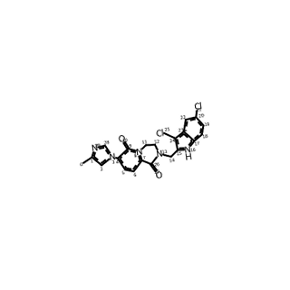 Cc1cn(-c2ccc3n(c2=O)CCN(Cc2[nH]c4ccc(Cl)cc4c2Cl)C3=O)cn1